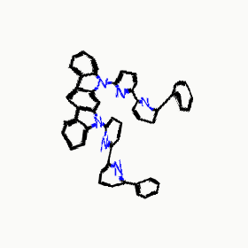 C1=CC(c2cccc(-n3c4ccccc4c4cc5c6ccccc6n(-c6cccc(-c7cccc(-c8ccccc8)n7)n6)c5cc43)n2)=NC(c2ccccc2)C1